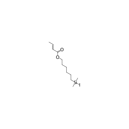 CC=CC(=O)OCCCCCC[Si](C)(C)I